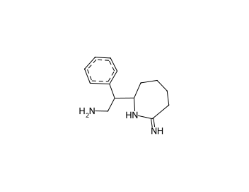 N=C1CCCCC(C(CN)c2ccccc2)N1